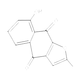 Cc1cc2c(o1)C(=O)c1c(O)cccc1C2=O